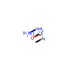 CC(C)=O.CCO.NN